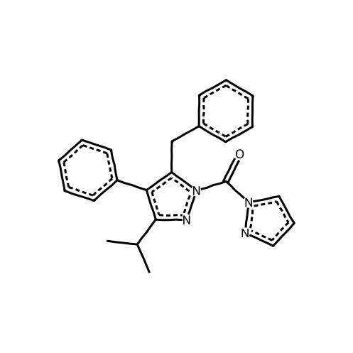 CC(C)c1nn(C(=O)n2cccn2)c(Cc2ccccc2)c1-c1ccccc1